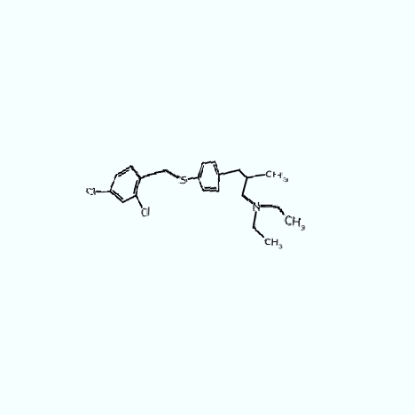 CCN(CC)CC(C)Cc1ccc(SCc2ccc(Cl)cc2Cl)cc1